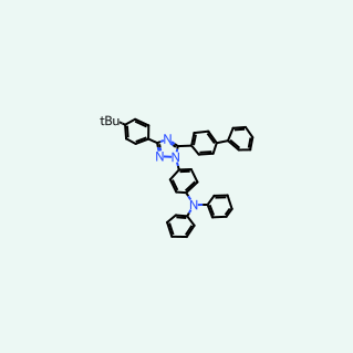 CC(C)(C)c1ccc(-c2nc(-c3ccc(-c4ccccc4)cc3)n(-c3ccc(N(c4ccccc4)c4ccccc4)cc3)n2)cc1